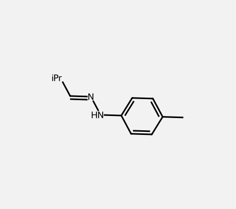 Cc1ccc(N/N=C/C(C)C)cc1